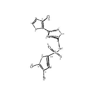 O=S(=O)(Nc1nc(-c2sccc2Cl)ns1)c1cc(Br)c(Cl)s1